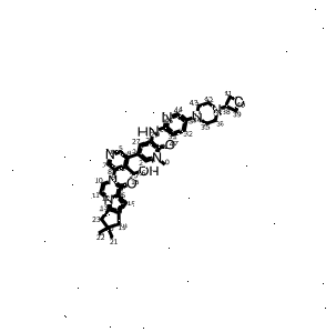 Cn1cc(-c2cncc(-n3ccn4c5c(cc4c3=O)CC(C)(C)C5)c2CO)cc(Nc2ccc(N3CCN(C4COC4)CC3)cn2)c1=O